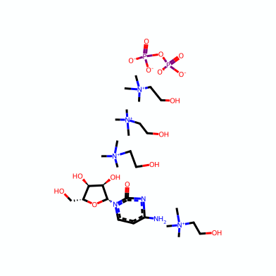 C[N+](C)(C)CCO.C[N+](C)(C)CCO.C[N+](C)(C)CCO.C[N+](C)(C)CCO.Nc1ccn([C@@H]2O[C@H](CO)[C@@H](O)[C@H]2O)c(=O)n1.O=P([O-])([O-])OP(=O)([O-])[O-]